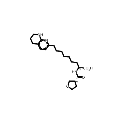 O=C(N[C@@H](CCCCCCCc1ccc2c(n1)NCCC2)C(=O)O)[C@@H]1CCOC1